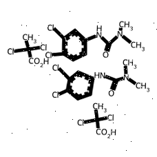 CC(Cl)(Cl)C(=O)O.CC(Cl)(Cl)C(=O)O.CN(C)C(=O)Nc1ccc(Cl)c(Cl)c1.CN(C)C(=O)Nc1ccc(Cl)c(Cl)c1